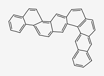 c1ccc2cc3c(ccc4ccc5cc6c(ccc7c8ccccc8ccc67)cc5c43)cc2c1